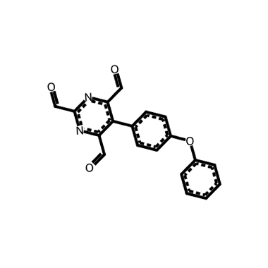 O=Cc1nc(C=O)c(-c2ccc(Oc3ccccc3)cc2)c(C=O)n1